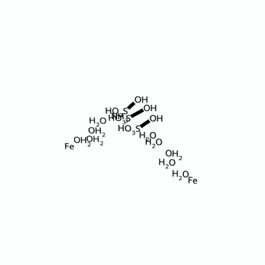 N.O.O.O.O.O.O.O.O.O.O=S(=O)(O)O.O=S(=O)(O)O.O=S(=O)(O)O.[Fe].[Fe]